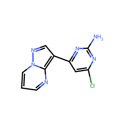 Nc1nc(Cl)cc(-c2cnn3cccnc23)n1